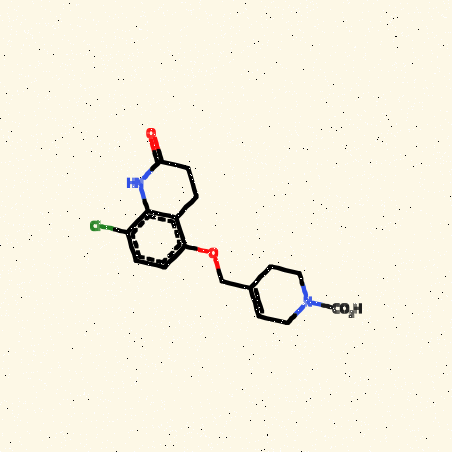 O=C1CCc2c(OCC3=CCN(C(=O)O)CC3)ccc(Cl)c2N1